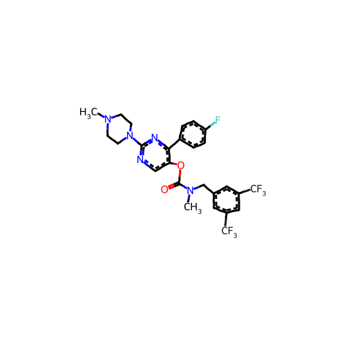 CN1CCN(c2ncc(OC(=O)N(C)Cc3cc(C(F)(F)F)cc(C(F)(F)F)c3)c(-c3ccc(F)cc3)n2)CC1